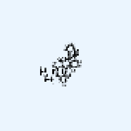 CC1(C)c2ccccc2N(c2cccc3c2C(=O)n2c-3nc3ccccc32)c2ccccc21